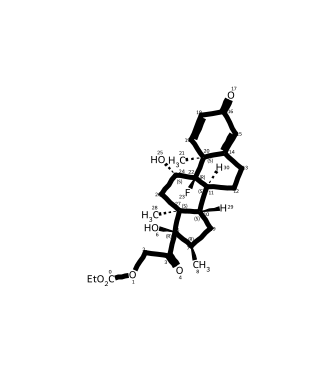 CCOC(=O)OCC(=O)[C@@]1(O)[C@H](C)C[C@H]2[C@@H]3CCC4=CC(=O)C=C[C@]4(C)[C@@]3(F)[C@@H](O)C[C@@]21C